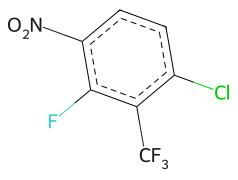 O=[N+]([O-])c1ccc(Cl)c(C(F)(F)F)c1F